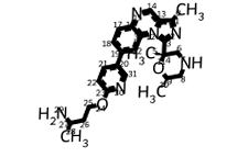 Cc1nc([C@]2(C)CNC[C@@H](C)O2)n2c1cnc1ccc(-c3ccc(OCCC(C)N)nc3)cc12